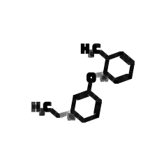 CC[C@@H]1C=C(O[C@H]2C=CC=CC2C)C=CC1